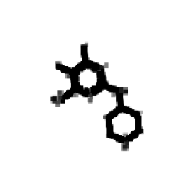 Cc1nc(NC2CCNCC2)nc(N)c1C